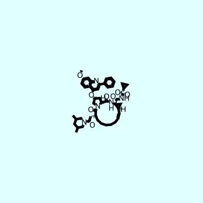 COc1ccc2c(O[C@@H]3C[C@H]4C(=O)N[C@]5(C(=O)NS(=O)(=O)C6CC6)C[C@H]5C=CCCCCC[C@H](CC(=O)N5CC(C)CC(C)C5)C(=O)N4C3)cc(-c3ccccc3)nc2c1